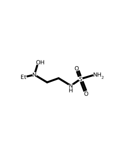 CCN(O)CCNS(N)(=O)=O